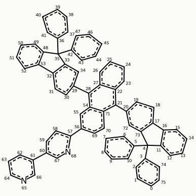 c1ccc(C2(c3ccccc3)c3ccccc3-c3ccc(-c4c5ccccc5c(-c5ccc6c(c5)C(c5ccccc5)(c5ccccc5)c5ccccc5-6)c5cc(-c6ccc(-c7cccnc7)cn6)ccc45)cc32)cc1